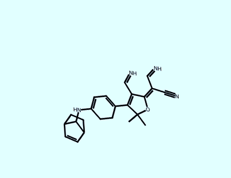 CC1(C)O/C(=C(\C#N)C=N)C(C=N)=C1C1=CC=C(NC2C3C=CC2CC3)CC1